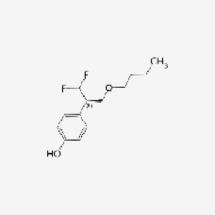 CCCCOC[C@@H](c1ccc(O)cc1)C(F)F